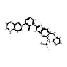 Cc1c(-c2ccc3c(c2)OCCO3)cccc1-c1nc2cc(CN3CCCC3)c(OC(F)F)cc2o1